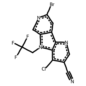 N#Cc1cnc2c3cc(Br)ncc3n(CC(F)(F)F)c2c1Cl